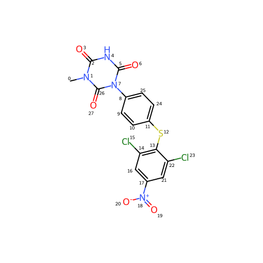 Cn1c(=O)[nH]c(=O)n(-c2ccc(Sc3c(Cl)cc([N+](=O)[O-])cc3Cl)cc2)c1=O